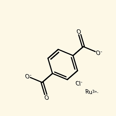 O=C([O-])c1ccc(C(=O)[O-])cc1.[Cl-].[Ru+3]